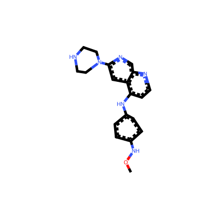 CONc1ccc(Nc2ccnc3cnc(N4CCNCC4)cc23)cc1